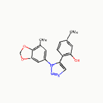 COc1ccc(-c2cnnn2-c2cc(OC)c3c(c2)OCO3)c(O)c1